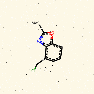 CSc1nc2c(CCl)cccc2o1